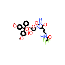 COc1ccc(C(OC[C@@H]2O[C@H](n3cc(C=CCNC(=O)C(F)(F)F)c(=O)[nH]c3=O)CC2O)(c2ccccc2)c2ccc(OC)cc2)cc1